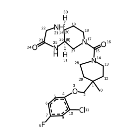 CC1(COc2ccc(F)cc2Cl)CCN(C(=O)N2CC[C@@H]3NCC(=O)N[C@@H]3C2)CC1